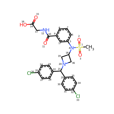 CS(=O)(=O)N(c1cccc(C(=O)NCC(=O)O)c1)C1CN(C(c2ccc(Cl)cc2)c2ccc(Cl)cc2)C1